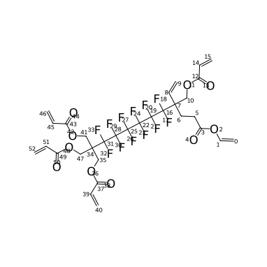 C=COC(=O)CCC(C=C)(COC(=O)C=C)C(F)(F)C(F)(F)C(F)(F)C(F)(F)C(F)(F)C(F)(F)C(COC(=O)C=C)(COC(=O)C=C)COC(=O)C=C